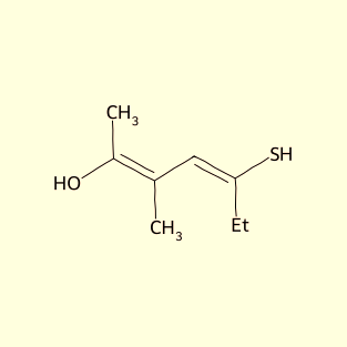 CC/C(S)=C\C(C)=C(/C)O